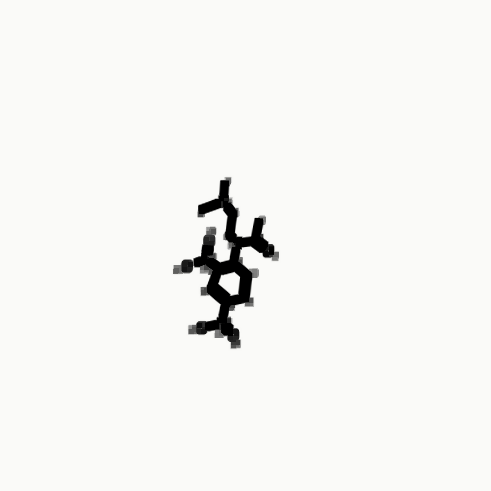 CC(=O)N(CCN(C)C)c1ccc([N+](=O)[O-])cc1[N+](=O)[O-]